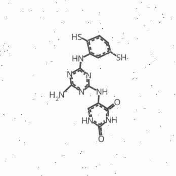 Nc1nc(Nc2cc(S)ccc2S)nc(Nc2c[nH]c(=O)[nH]c2=O)n1